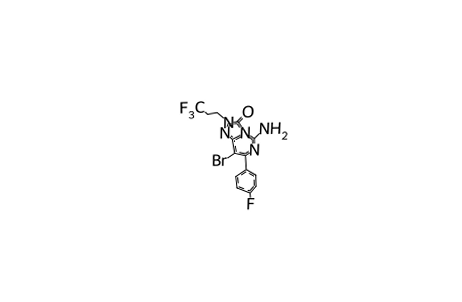 Nc1nc(-c2ccc(F)cc2)c(Br)c2nn(CCC(F)(F)F)c(=O)n12